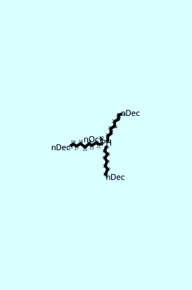 CCCCCCCCCCCCCCCCCC[PH](CCCCCCCC)(CCCCCCCCCCCCCCCCCC)CCCCCCCCCCCCCCCCCC